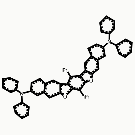 CC(C)c1c2oc3cc4cc(N(c5ccccc5)c5ccccc5)ccc4cc3c2c(C(C)C)c2c1oc1cc3cc(N(c4ccccc4)c4ccccc4)ccc3cc12